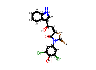 O=C(C=C1SC(=S)N(c2cc(Br)c(O)c(Br)c2)C1=O)c1c[nH]c2ccccc12